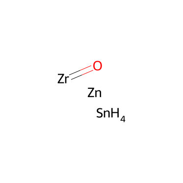 [O]=[Zr].[SnH4].[Zn]